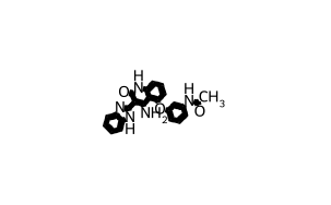 CC(=O)Nc1cccc(Oc2cccc3[nH]c(=O)c(-c4nc5ccccc5[nH]4)c(N)c23)c1